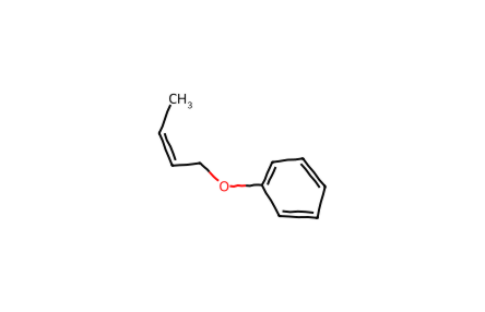 C/C=C\COc1ccccc1